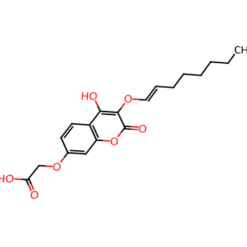 CCCCCC/C=C/Oc1c(O)c2ccc(OCC(=O)O)cc2oc1=O